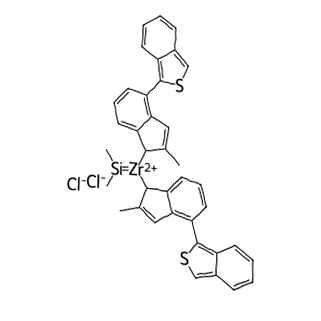 CC1=Cc2c(-c3scc4ccccc34)cccc2[CH]1[Zr+2]([CH]1C(C)=Cc2c(-c3scc4ccccc34)cccc21)=[Si](C)C.[Cl-].[Cl-]